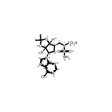 CC1(C)O[C@@H]2[C@@H](CN(C(=O)O)S(N)(=O)=O)C[C@@H](n3cnc4c(Cl)ncnc43)[C@@H]2O1